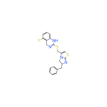 Fc1cccc2c1CN=C(SCC1=CSC3=NC(Cc4ccccc4)CN13)N2